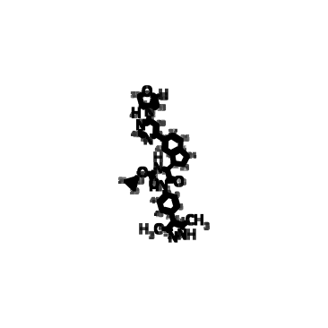 Cc1n[nH]c(C)c1-c1ccc(NC(=O)C(NC(=O)OC2CC2)[C@@H]2CCc3ccc(-c4cc(N5C[C@@H]6C[C@H]5CO6)ncn4)cc32)cc1